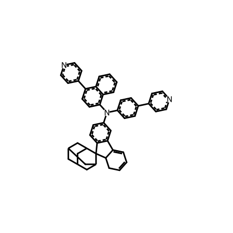 C1=CCC2C(=C1)c1cc(N(c3ccc(-c4ccncc4)cc3)c3ccc(-c4ccncc4)c4ccccc34)ccc1C21C2CC3CC(C2)CC1C3